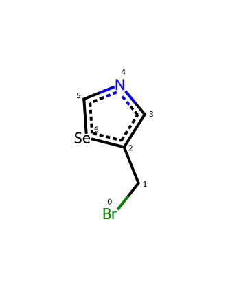 BrCc1cnc[se]1